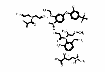 C=CCN(CC=C)C(=O)C(Cl)Cl.CCOc1cc(Oc2ccc(C(F)(F)F)cc2Cl)ccc1[N+](=O)[O-].CCc1cccc(C)c1N(C(=O)CCl)C(C)COC.CP(=O)(O)CCC(N)C(=O)O